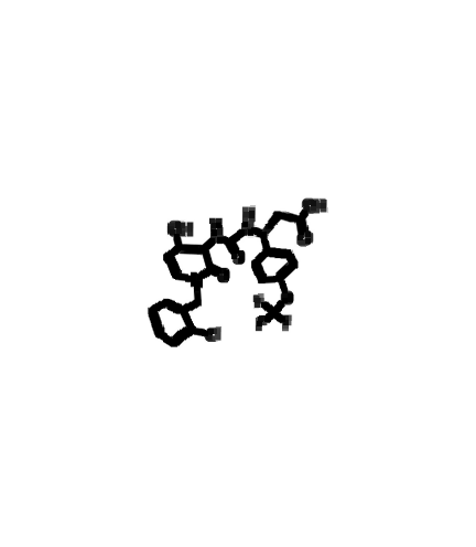 O=C(O)C[C@H](NC(=O)Nc1c(O)ccn(Cc2ccccc2Cl)c1=O)c1ccc(OC(F)(F)F)cc1